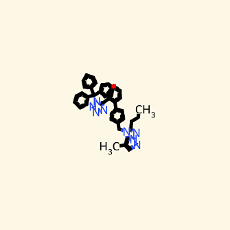 CCCc1nn2ncc(C)c2n1Cc1ccc(-c2ccccc2-c2nnnn2C(c2ccccc2)(c2ccccc2)c2ccccc2)cc1